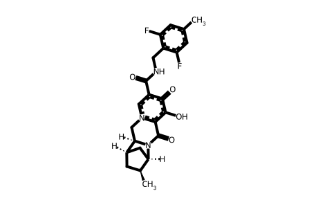 Cc1cc(F)c(CNC(=O)c2cn3c(c(O)c2=O)C(=O)N2[C@H](C3)[C@H]3C[C@@H]2[C@@H](C)C3)c(F)c1